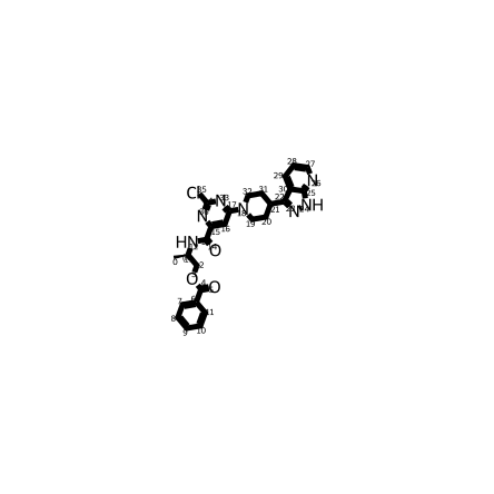 C[C@H](COC(=O)c1ccccc1)NC(=O)c1cc(N2CCC(c3n[nH]c4ncccc34)CC2)nc(Cl)n1